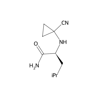 CC(C)C[C@H](NC1(C#N)CC1)C(N)=O